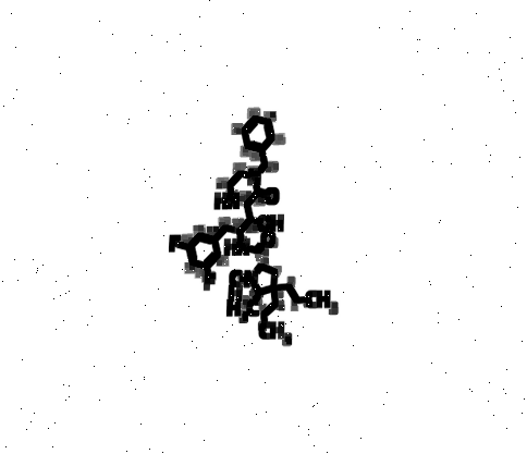 CCCC1(CCC)C[C@@H](C(=O)N[C@@H](Cc2cc(F)cc(F)c2)[C@H](O)[C@@H]2NCCN(Cc3ccccc3)C2=O)N(C)C1C